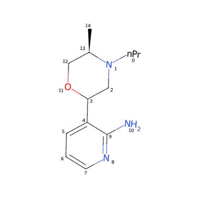 CCCN1CC(c2cccnc2N)OC[C@H]1C